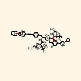 COC(=O)NC(C(=O)NC(Cc1ccc(C#Cc2cnc(N3CC4CCC(C3)N4C3COC3)nc2)cc1)C(O)CN(Cc1c(F)cc(-c2cn(C34CC(C3)C4)nn2)cc1F)NC(=O)C(NC(=O)O)C(C)(C)C(F)(F)F)C(C)(C)C(F)(F)F